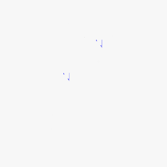 C1=CC(N(c2ccc(-c3ccccc3)c(-c3ccccc3)c2)c2cccc3c2c2cc4ccccc4cc2n3-c2ccc3ccccc3c2)CC=C1c1ccccc1